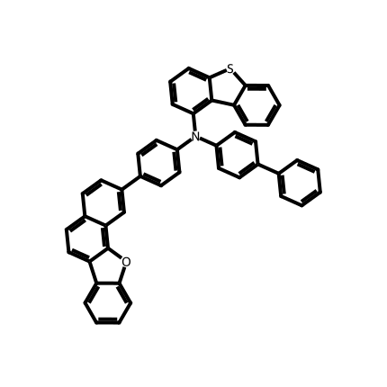 c1ccc(-c2ccc(N(c3ccc(-c4ccc5ccc6c7ccccc7oc6c5c4)cc3)c3cccc4sc5ccccc5c34)cc2)cc1